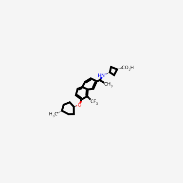 CC(N[C@H]1C[C@@H](C(=O)O)C1)c1ccc2ccc(O[C@H]3CC[C@@H](C)CC3)c(C(F)(F)F)c2c1